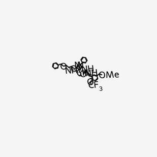 COCc1ccc(OC(F)(F)F)c(CNC(=O)Nc2c(C)c(OC[C@H](N)COCc3ccccc3)nn2-c2ccccc2)c1